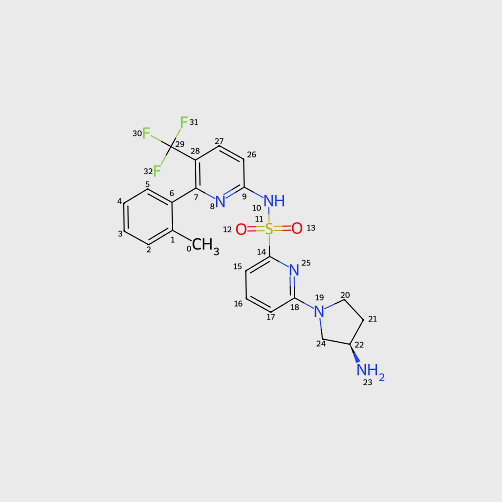 Cc1ccccc1-c1nc(NS(=O)(=O)c2cccc(N3CC[C@@H](N)C3)n2)ccc1C(F)(F)F